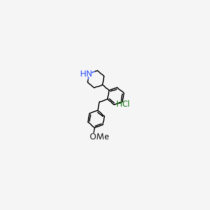 COc1ccc(Cc2ccccc2C2CCNCC2)cc1.Cl